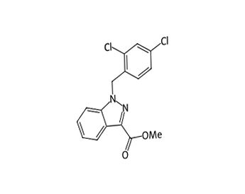 COC(=O)c1nn(Cc2ccc(Cl)cc2Cl)c2ccccc12